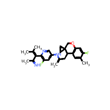 C=C(CC1c2cc(C)c(F)cc2OCC12CC2)Nc1cnc(C(C(C)=N)=C(C)C)c(F)c1